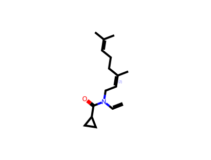 C=CN(C/C=C(/C)CCC=C(C)C)C(=O)C1CC1